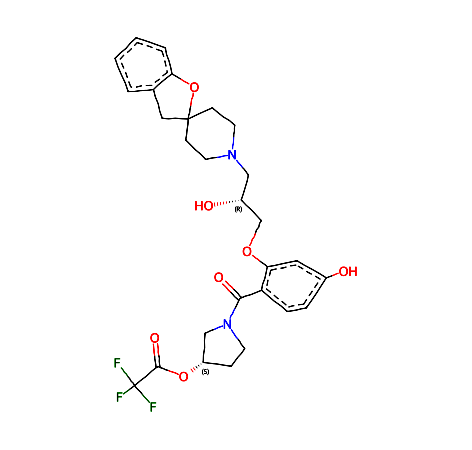 O=C(c1ccc(O)cc1OC[C@H](O)CN1CCC2(CC1)Cc1ccccc1O2)N1CC[C@H](OC(=O)C(F)(F)F)C1